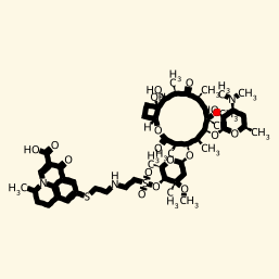 CO[C@]1(C)C[C@@H](C)C(=O)[C@@H](C)[C@@H](O)[C@@]2(O)CC[C@H]2OC(=O)[C@H](C)[C@@H](O[C@H]2C[C@@](C)(OC)[C@@H](OS(=O)(=O)CCNCCSc3cc4c5c(c3)c(=O)c(C(=O)O)cn5C(C)CC4)[C@H](C)O2)[C@H](C)[C@H]1O[C@@H]1O[C@H](C)C[C@H](N(C)C)[C@H]1O